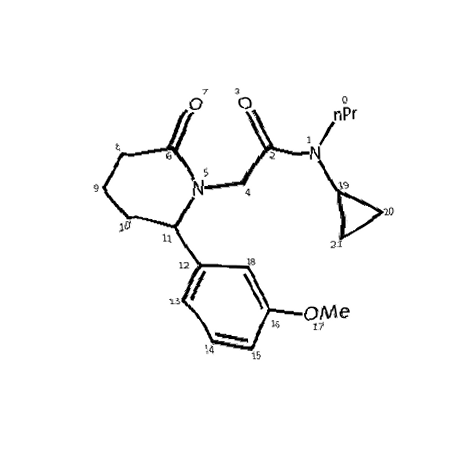 CCCN(C(=O)CN1C(=O)CCCC1c1cccc(OC)c1)C1CC1